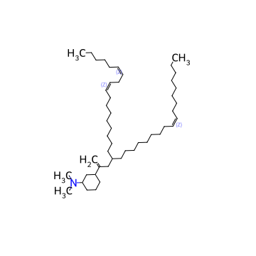 C=C(CC(CCCCCCCC/C=C\C/C=C\CCCCC)CCCCCCCC/C=C\CCCCCCCC)C1CCCC(N(C)C)C1